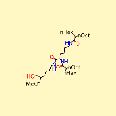 CCCCCCCCC(CCCCCC)C(=O)NCCCC[C@H](NC(=O)C(CCCCCC)CCCCCCCC)C(=O)NCCCCC(CO)COC